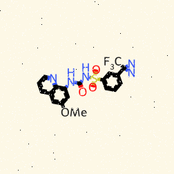 COc1cc(NC(=O)NS(=O)(=O)c2cccc(C3(C(F)(F)F)N=N3)c2)c2ncccc2c1